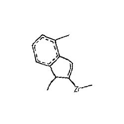 [CH3][Zr][C]1=Cc2c(C)cccc2C1C